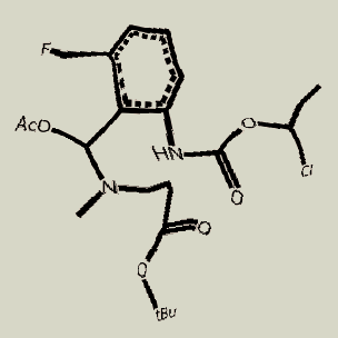 CC(=O)OC(c1c(F)cccc1NC(=O)OC(C)Cl)N(C)CC(=O)OC(C)(C)C